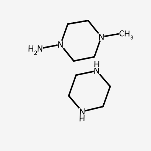 C1CNCCN1.CN1CCN(N)CC1